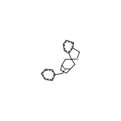 c1ccc(CN2C3CCC2CC2(C3)OCc3ccccc32)cc1